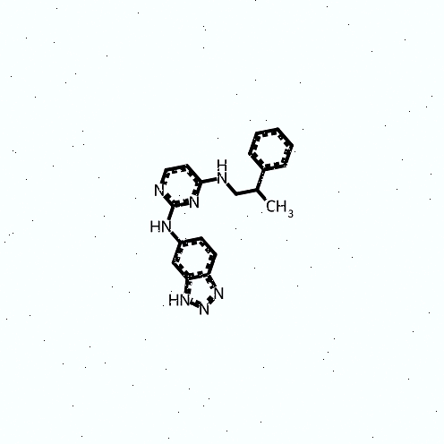 CC(CNc1ccnc(Nc2ccc3nn[nH]c3c2)n1)c1ccccc1